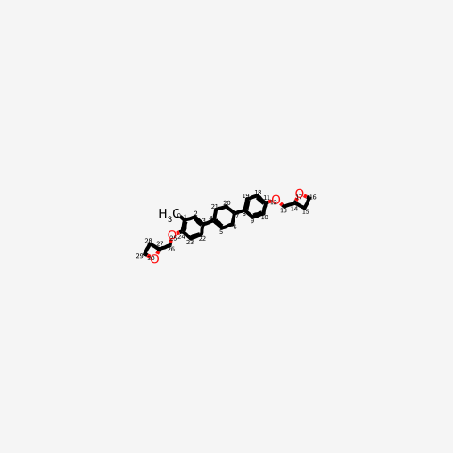 Cc1cc(C2=CCC(c3ccc(OCC4CCO4)cc3)CC2)ccc1OCC1CCO1